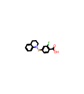 O=C(O)c1ccc(SN2CCCc3ccccc32)cc1F